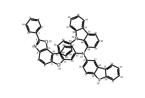 c1ccc(-c2nc3ccc4oc5cc(N(c6ccc7sc8ccccc8c7c6)c6cccc7c8ccccc8n(-c8ccccc8)c67)ccc5c4c3o2)cc1